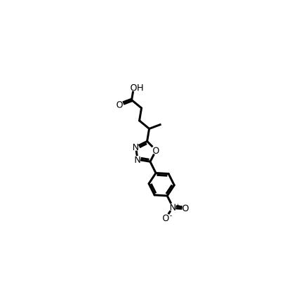 CC(CCC(=O)O)c1nnc(-c2ccc([N+](=O)[O-])cc2)o1